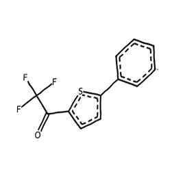 O=C(c1ccc(-c2c[c]ccc2)s1)C(F)(F)F